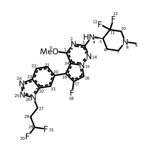 COc1nc(N[C@@H]2CCN(C)CC2(F)F)nn2cc(F)c(-c3ccc4nnn(CCC(F)F)c4c3)c12